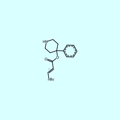 CCCC/C=C/C(=O)OC1(c2ccccc2)CCNCC1